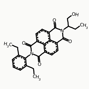 CCc1cccc(CC)c1N1C(=O)c2ccc3c4c(ccc(c24)C1=O)C(=O)N(C(CC)CO)C3=O